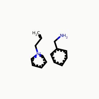 C=CC[n+]1ccccc1.NCc1ccccc1